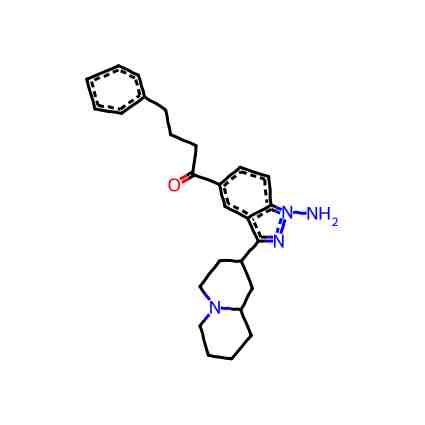 Nn1nc(C2CCN3CCCCC3C2)c2cc(C(=O)CCCc3ccccc3)ccc21